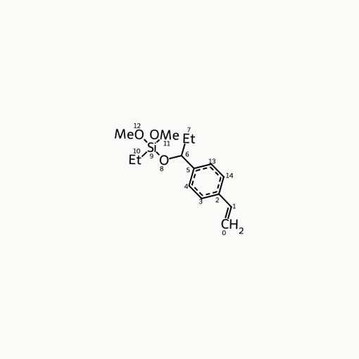 C=Cc1ccc(C(CC)O[Si](CC)(OC)OC)cc1